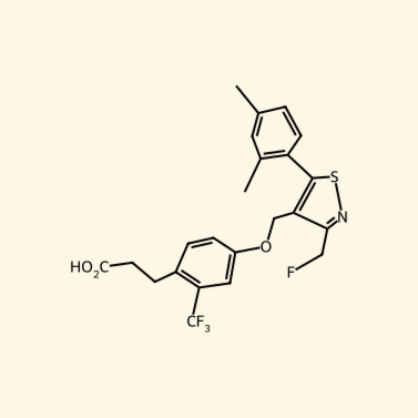 Cc1ccc(-c2snc(CF)c2COc2ccc(CCC(=O)O)c(C(F)(F)F)c2)c(C)c1